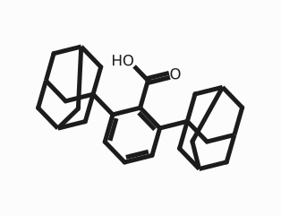 O=C(O)c1c(C23CC4CC(CC(C4)C2)C3)cccc1C12CC3CC(CC(C3)C1)C2